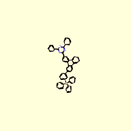 c1ccc(-c2nc(-c3ccccc3)nc(-c3ccc4c5cc(-c6cccc([Si](c7ccccc7)(c7ccccc7)c7ccccc7)c6)ccc5c5ccccc5c4c3)n2)cc1